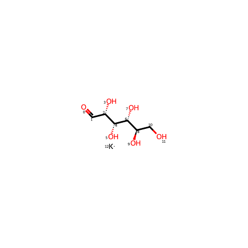 O=C[C@H](O)[C@@H](O)[C@H](O)[C@H](O)CO.[K]